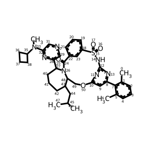 Cc1cccc(C)c1-c1cc2nc(n1)NS(=O)(=O)c1cccc(c1)C(=O)N1C(c3cncc(N(C)C4CCC4)n3)CCCC(CC(C)C)C1CO2